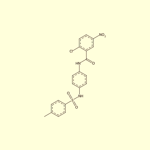 Cc1ccc(S(=O)(=O)Nc2ccc(NC(=O)c3cc([N+](=O)[O-])ccc3Cl)cc2)cc1